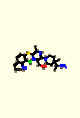 CN/C=C1/C=CC(Sc2nc(CO)c(N3CCC(C)(C(C)N)CC3)nc2C)=C(Cl)C1=N